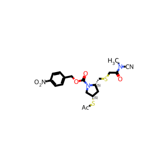 CC(=O)S[C@H]1C[C@@H](CSCC(=O)N(C)C#N)N(C(=O)OCc2ccc([N+](=O)[O-])cc2)C1